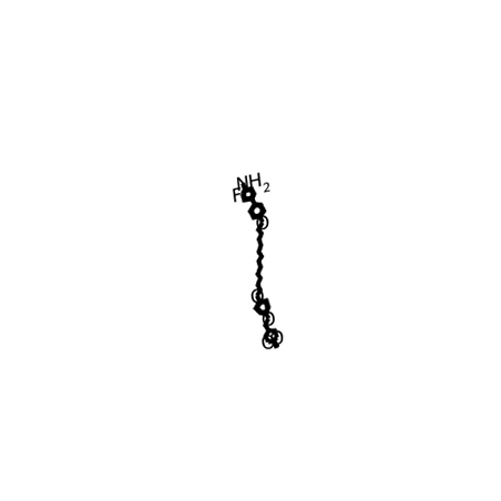 C=C1OCC(COc2ccc(OCCCCCCCCCCCCOc3ccc(-c4ccc(N)c(F)c4)cc3)cc2)CO1